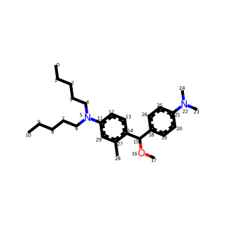 CCCCCN(CCCCC)c1ccc(C(OC)c2ccc(N(C)C)cc2)c(C)c1